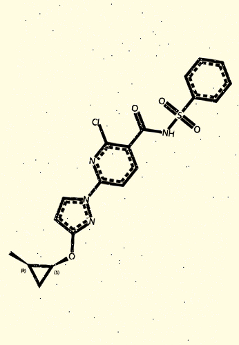 C[C@@H]1C[C@@H]1Oc1ccn(-c2ccc(C(=O)NS(=O)(=O)c3ccccc3)c(Cl)n2)n1